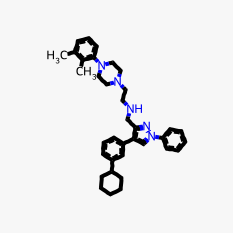 Cc1cccc(N2CCN(CCNCc3nn(-c4ccccc4)cc3-c3cccc(C4CCCCC4)c3)CC2)c1C